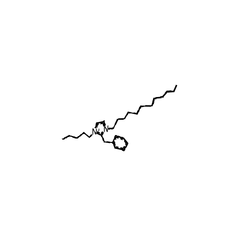 CCCCCCCCCCCCn1cc[n+](CCCCC)c1Cc1ccccc1